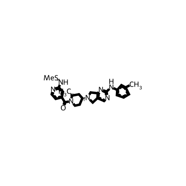 CSNc1cc(C(=O)N2CC[C@@H](N3Cc4cnc(Nc5cccc(C)c5)nc4C3)C[C@H]2C)ccn1